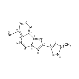 Cn1cc(-c2nc3c4cccc(Br)c4ncn3n2)cn1